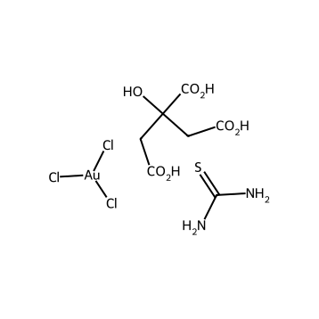 NC(N)=S.O=C(O)CC(O)(CC(=O)O)C(=O)O.[Cl][Au]([Cl])[Cl]